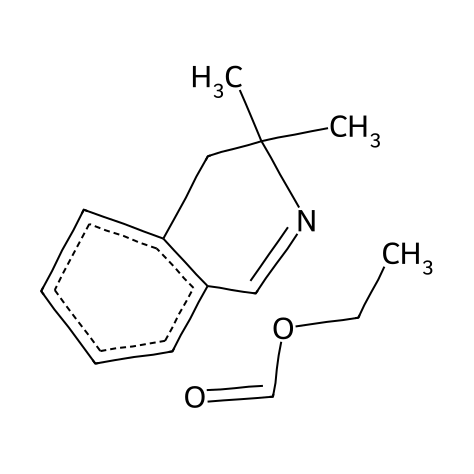 CC1(C)Cc2ccccc2C=N1.CCOC=O